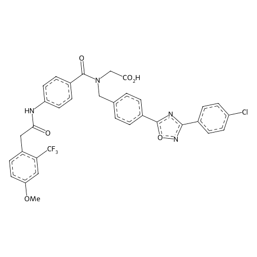 COc1ccc(CC(=O)Nc2ccc(C(=O)N(CC(=O)O)Cc3ccc(-c4nc(-c5ccc(Cl)cc5)no4)cc3)cc2)c(C(F)(F)F)c1